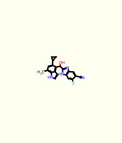 Cc1cc(C2CC2)c(C(O)c2nc3cc(C#N)c(F)cc3[nH]2)c2cc[nH]c12